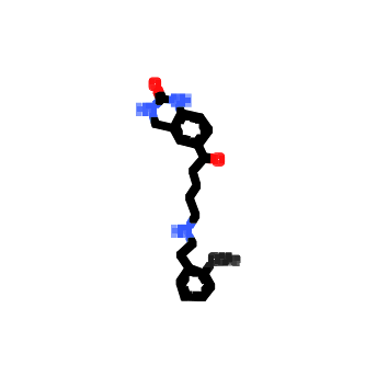 COc1ccccc1CCNCCCCC(=O)c1ccc2c(c1)CNC(=O)N2